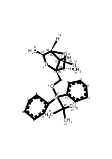 B[C@@H]1O[C@@]2(CO[Si](c3ccccc3)(c3ccccc3)C(C)(C)C)[C@@H](C)O[C@@H]1[C@@H]2O